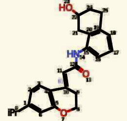 CC(C)c1ccc2c(c1)OCC/C2=C\C(=O)Nc1cccc2c1CC(O)CC2